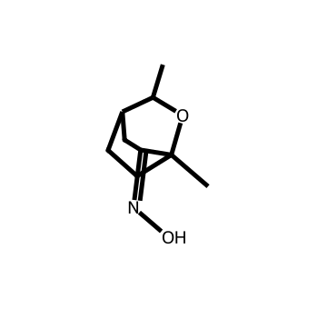 CC1OC2(C)CCC1CC2=NO